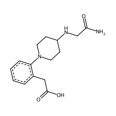 NC(=O)CNC1CCN(c2ccccc2CC(=O)O)CC1